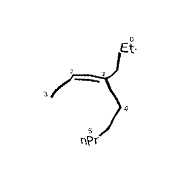 C[CH]C(=CC)CCCC